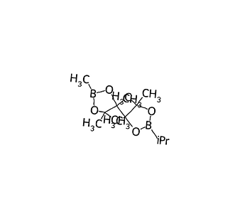 CB1OC(C)(C)C(C)(C2(C)OB(C(C)C)OC2(C)C)O1